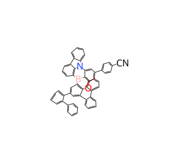 N#Cc1ccc(-c2cc3c4c(c2)-n2c5ccccc5c5cccc(c52)B4c2cc(-c4ccccc4-c4ccccc4)cc(-c4ccccc4-c4ccccc4)c2O3)cc1